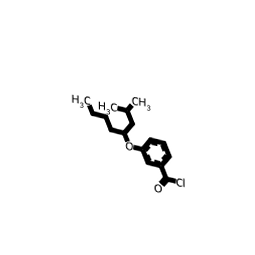 CCCCC(CC(C)C)Oc1cccc(C(=O)Cl)c1